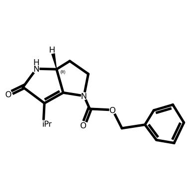 CC(C)C1=C2[C@@H](CCN2C(=O)OCc2ccccc2)NC1=O